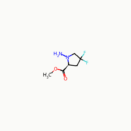 COC(=O)[C@@H]1CC(F)(F)CN1N